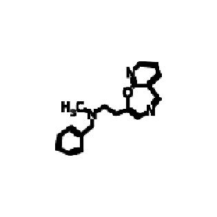 CN(CCC1=CN=Cc2cccnc2O1)Cc1ccccc1